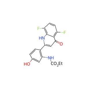 CCOC(=O)Nc1cc(O)ccc1-c1cc(=O)c2c(F)ccc(F)c2[nH]1